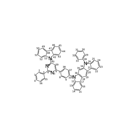 c1ccc(-c2nc(-c3ccc(-n4c5ccccc5c5cc6c7ccccc7n(-c7ccccc7)c6cc54)cc3)cc(-n3c4ccccc4c4ccccc43)n2)cc1